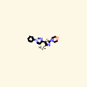 Cc1nc(N2CCOCC2)sc1C1=NCN(c2ccccc2)C=C1